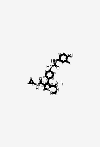 Cc1cc(NC(=O)Nc2ccc(-c3c(C(=O)NC4CC4)cn4ncnc(N)c34)cc2)ccc1Cl